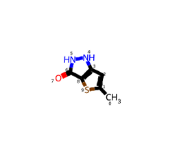 Cc1cc2[nH][nH]c(=O)c2s1